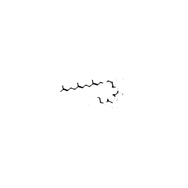 CC[C@H](C)[C@H](NC(=O)[C@@H](NC(=O)[C@H](CSC/C=C(\C)CC/C=C(\C)CCC=C(C)C)NC(C)=O)C(C)C)C(=O)N[C@@H](CO)C(=O)O